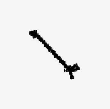 O=CCCOCC(COCCC=O)(COCCC=O)NC(=O)CCOCCOCCOCCOCCOCCOCCOCCOCCOCCOCCOCCOCCN1C(=O)c2ccccc2C1=O